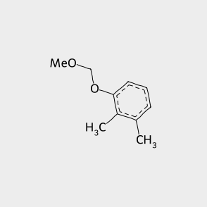 COCOc1cccc(C)c1C